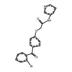 O=C(COc1ccc(C(=O)c2ccccc2Br)cc1)Nc1cccnc1